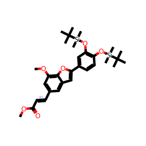 COC(=O)/C=C/c1cc(OC)c2oc(-c3ccc(O[Si](C)(C)C(C)(C)C)c(O[Si](C)(C)C(C)(C)C)c3)cc2c1